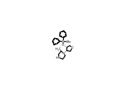 C[C@H]1CNCCN1[C@H]1COC[C@H]1O[Si](c1ccccc1)(c1ccccc1)C(C)(C)C